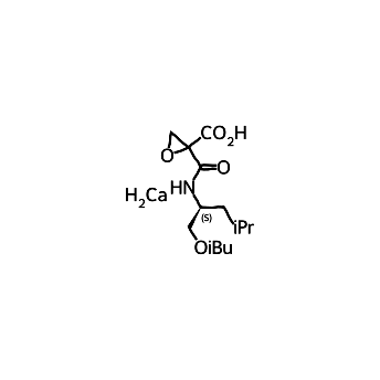 CC(C)COC[C@H](CC(C)C)NC(=O)C1(C(=O)O)CO1.[CaH2]